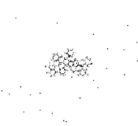 CC(=Cc1ccc(-c2cc(-c3ccccc3)c3c(c2-c2ccccc2)-c2cccc4c(N(c5ccccc5)C5CCCCC5)ccc-3c24)c2c(C)cccc12)c1ccccc1